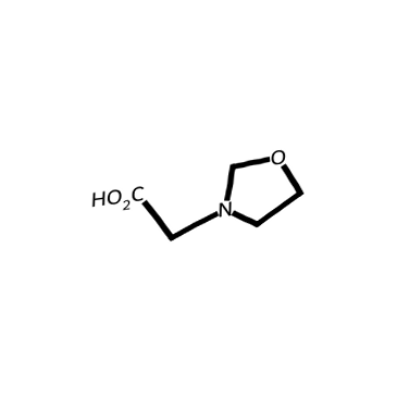 O=C(O)CN1CCOC1